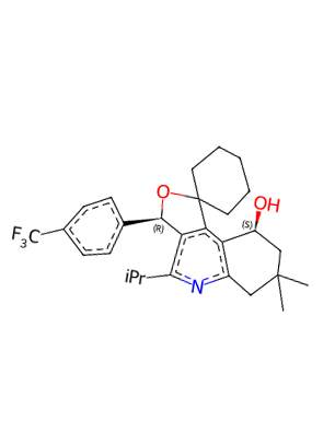 CC(C)c1nc2c(c3c1[C@@H](c1ccc(C(F)(F)F)cc1)OC31CCCCC1)[C@@H](O)CC(C)(C)C2